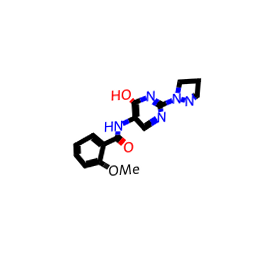 COc1ccccc1C(=O)Nc1cnc(N2CCC=N2)nc1O